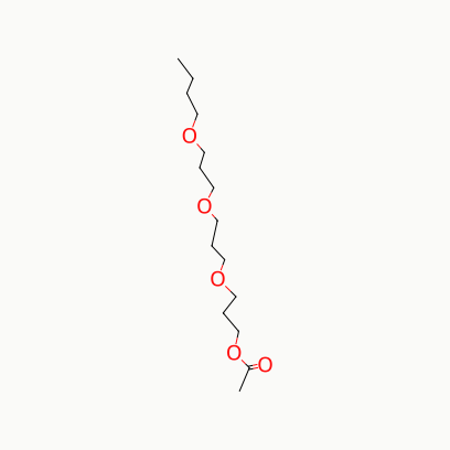 CCCCOCCCOCCCOCCCOC(C)=O